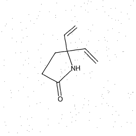 C=CC1(C=C)CCC(=O)N1